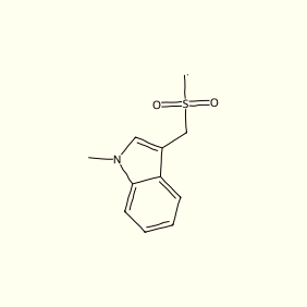 [CH2]S(=O)(=O)Cc1cn(C)c2ccccc12